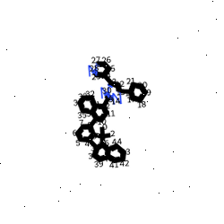 CC1(C)c2c(cccc2-c2ccc(-c3nc(-c4ccccc4)cc(-c4cccnc4)n3)c3ccccc23)-c2ccc3ccccc3c21